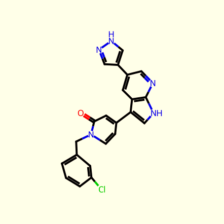 O=c1cc(-c2c[nH]c3ncc(-c4cn[nH]c4)cc23)ccn1Cc1cccc(Cl)c1